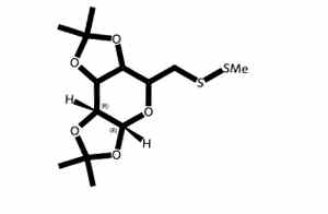 CSSCC1O[C@@H]2OC(C)(C)O[C@@H]2C2OC(C)(C)OC12